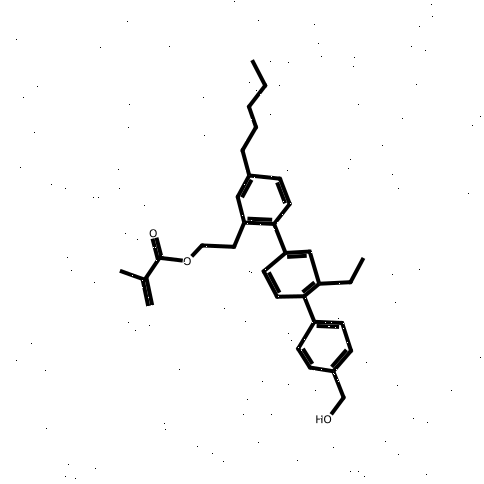 C=C(C)C(=O)OCCc1cc(CCCCC)ccc1-c1ccc(-c2ccc(CO)cc2)c(CC)c1